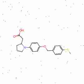 CSc1ccc(COc2ccc(N3CCCC3CC(=O)O)cc2)cc1